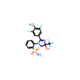 Cc1c(F)cc(C2=NC(O)(C(F)(F)F)CN2c2ccccc2S(N)(=O)=O)cc1F